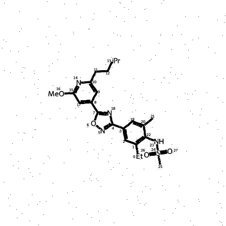 CCc1cc(-c2noc(-c3cc(CCC(C)C)nc(OC)c3)n2)cc(C)c1NS(C)(=O)=O